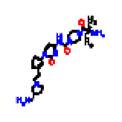 CC(C)(N)C(=O)N1CCN(C(=O)Nc2ccn(-c3cccc(CCN4CC[C@H](CN)C4)c3)c(=O)n2)CC1